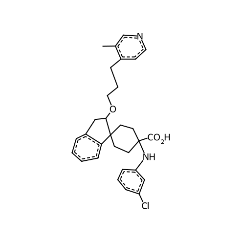 Cc1cnccc1CCCOC1Cc2ccccc2C12CCC(Nc1cccc(Cl)c1)(C(=O)O)CC2